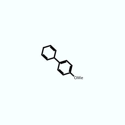 COc1ccc(C2C=CCC=C2)cc1